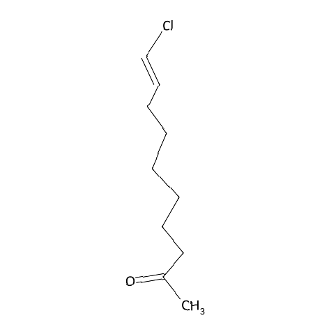 CC(=O)CCCCCCC=CCl